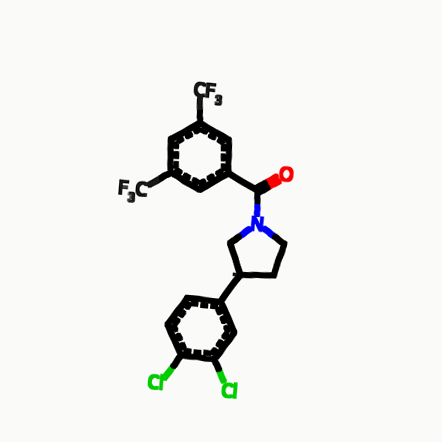 O=C(c1cc(C(F)(F)F)cc(C(F)(F)F)c1)N1CC[C](c2ccc(Cl)c(Cl)c2)C1